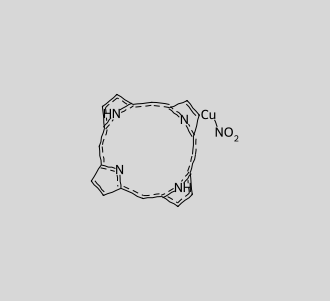 C1=Cc2cc3ccc(cc4nc(cc5ccc(cc1n2)[nH]5)C=C4)[nH]3.O=[N+]([O-])[Cu]